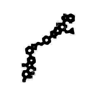 O=C1CCC(N2C(=O)c3ccc(N4CCCC5(CN(CCN6CCC(n7cc8cc(NC(=O)c9cnn%10cccnc9%10)c(OCC9CC9)cc8n7)CC6)C5)C4)cc3C2=O)C(=O)N1